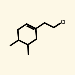 CC1CC=C(CCCl)CC1C